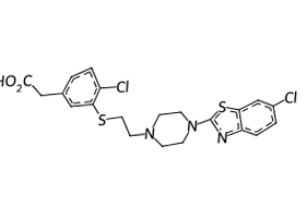 O=C(O)Cc1ccc(Cl)c(SCCN2CCN(c3nc4ccc(Cl)cc4s3)CC2)c1